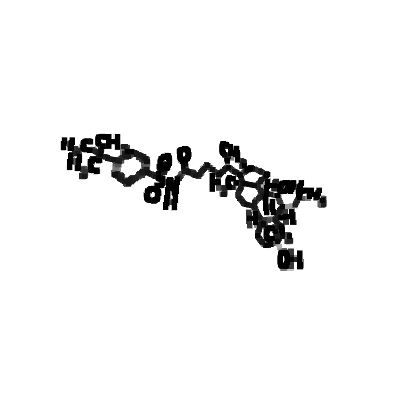 CC[C@H]1[C@@H](O)[C@@H]2[C@H](CC[C@]3(C)[C@@H]([C@H](C)CCCC(=O)NS(=O)(=O)c4ccc(C(C)(C)C)cc4)CC[C@@H]23)[C@@]2(C)CC[C@@H](O)C[C@@H]12